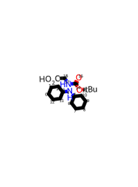 C1CCC(NC2CCCCC2)CC1.CC(C)(C)OC(=O)NCC(=O)O